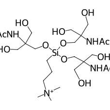 CC(=O)NC(CO)(CO)CO[Si](CCC[N+](C)(C)C)(OCC(CO)(CO)NC(C)=O)OCC(CO)(CO)NC(C)=O